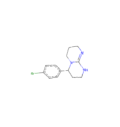 Brc1ccc(C2CCNC3=NCCCN32)cc1